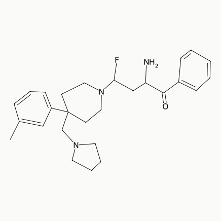 Cc1cccc(C2(CN3CCCC3)CCN(C(F)CC(N)C(=O)c3ccccc3)CC2)c1